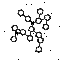 c1ccc(-c2ccc(N(c3ccc(-c4ccccc4-c4ccccc4)c(-c4ccccc4)c3)c3ccc(-c4ccccc4-c4ccc5c6ccccc6n(-c6ccccc6)c5c4)c(-c4ccc5ccc(-c6ccccc6)cc5c4)c3)cc2)cc1